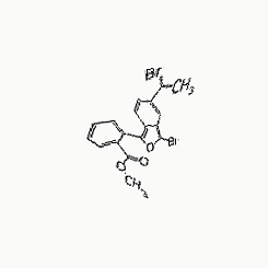 COC(=O)c1ccccc1-c1oc(Br)c2cc(C(C)Br)ccc12